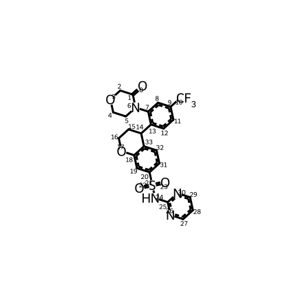 O=C1COCCN1c1cc(C(F)(F)F)ccc1C1CCOc2cc(S(=O)(=O)Nc3ncccn3)ccc21